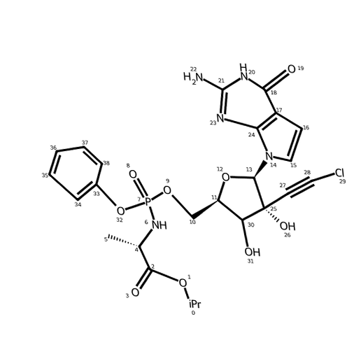 CC(C)OC(=O)[C@H](C)NP(=O)(OC[C@H]1O[C@@H](n2ccc3c(=O)[nH]c(N)nc32)[C@@](O)(C#CCl)C1O)Oc1ccccc1